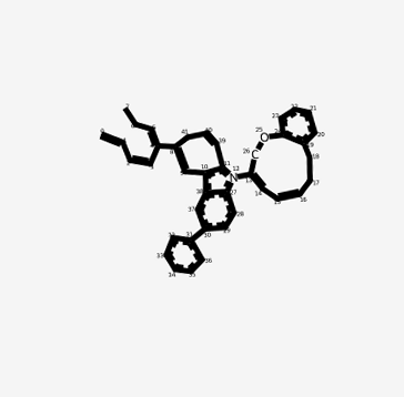 C=C/C=C\C(=C/CC)C1=Cc2c(n(/C3=C/C=C\CCc4ccccc4OC3)c3ccc(-c4ccccc4)cc23)C=CC1